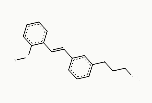 CC(C)Oc1ccccc1C=Cc1cccc(CCCN)c1